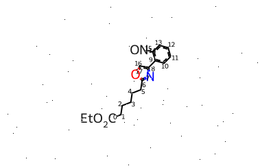 CCOC(=O)CCCCCc1nc(-c2ccccc2N=O)co1